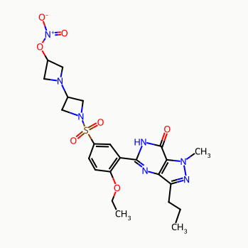 CCCc1nn(C)c2c(=O)[nH]c(-c3cc(S(=O)(=O)N4CC(N5CC(O[N+](=O)[O-])C5)C4)ccc3OCC)nc12